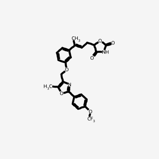 C/C(=C\CC1OC(=O)NC1=O)c1cccc(OCc2nc(-c3ccc(OC(F)(F)F)cc3)oc2C)c1